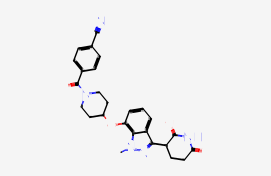 Cn1nc(C2CCC(=O)NC2=O)c2cccc(OC3CCN(C(=O)c4ccc(C#N)cc4)CC3)c21